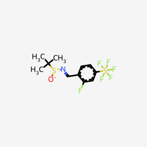 CC(C)(C)[S+]([O-])N=Cc1ccc(S(F)(F)(F)(F)F)cc1F